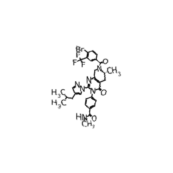 CNC(=O)c1ccc(-n2c(-n3cc(CC(C)C)cn3)nc3c(c2=O)C[C@@H](C)N(C(=O)c2ccc(Br)c(C(F)(F)F)c2)C3)cc1